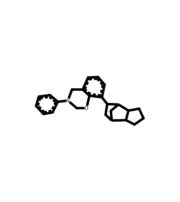 c1ccc(N2COc3c(cccc3C3CC4CC3C3CCCC43)C2)cc1